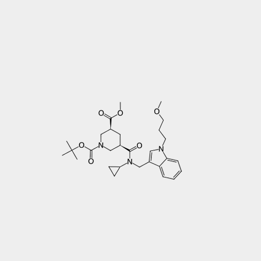 COCCCn1cc(CN(C(=O)[C@@H]2C[C@H](C(=O)OC)CN(C(=O)OC(C)(C)C)C2)C2CC2)c2ccccc21